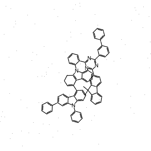 CC1(C)c2ccccc2-c2ccc(-c3nc(-c4cccc(-c5ccccc5)c4)nc(-c4ccccc4-n4c5c(c6ccccc64)C(c4cccc6c4c4ccc(-c7ccccc7)cc4n6-c4ccccc4)=CCC5)n3)cc21